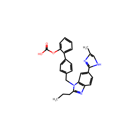 CCCc1nc2ccc(-c3nc(C)c[nH]3)cc2n1Cc1ccc(-c2ccccc2OC(=O)O)cc1